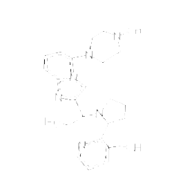 Cc1cccnc1C1CCCN1C(CO)c1cn2c(N3CCN(C)CC3)cccc2n1